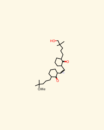 COC(C)(C)CCCC1CCCC(/C=C\C2CCCC(CCCC(C)(C)CO)C2=O)C1=O